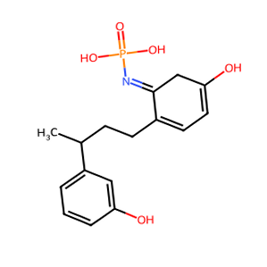 CC(CCC1=CC=C(O)CC1=NP(=O)(O)O)c1cccc(O)c1